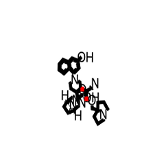 N#Cc1c(OCC23CCCN2CCC3)nc(N2[C@@H]3CC[C@H]2CN(C(=O)O)C3)c2c1CN(c1cc(O)cc3ccccc13)CC2